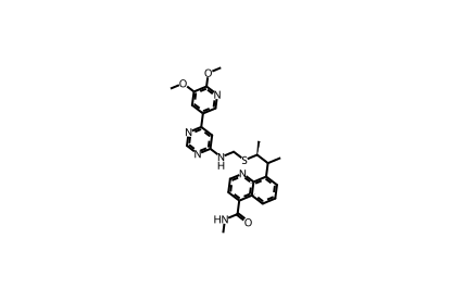 CNC(=O)c1ccnc2c(C(C)[C@H](C)SCNc3cc(-c4cnc(OC)c(OC)c4)ncn3)cccc12